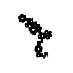 CC1(C)OC2C(COc3ccc(C(=O)O)cc3)OC(n3cnc4c(NC(=O)Nc5ccccc5)ncnc43)C2O1